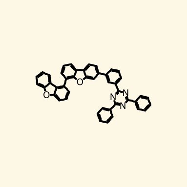 c1ccc(-c2nc(-c3ccccc3)nc(-c3cccc(-c4ccc5c(c4)oc4c(-c6cccc7oc8ccccc8c67)cccc45)c3)n2)cc1